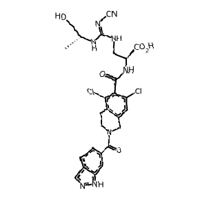 C[C@H](CO)N/C(=N/C#N)NC[C@H](NC(=O)c1c(Cl)cc2c(c1Cl)CCN(C(=O)c1ccc3cn[nH]c3c1)C2)C(=O)O